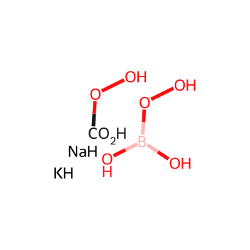 O=C(O)OO.OOB(O)O.[KH].[NaH]